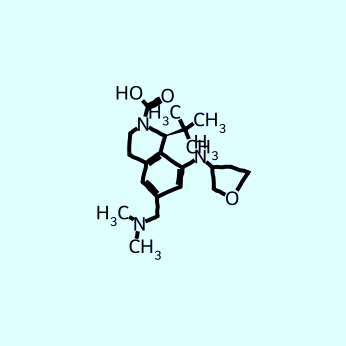 CN(C)Cc1cc2c(c(NC3CCOC3)c1)[C@H](C(C)(C)C)N(C(=O)O)CC2